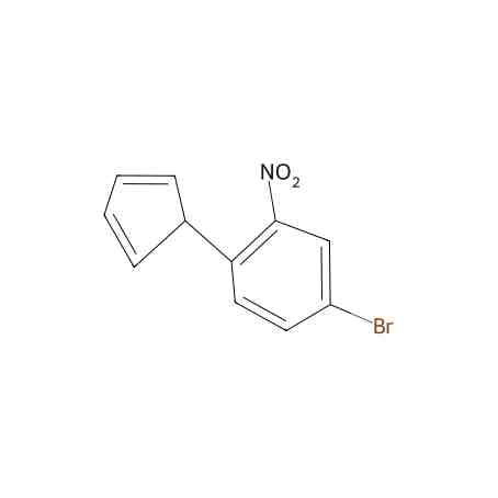 O=[N+]([O-])c1cc(Br)ccc1C1C=CC=C1